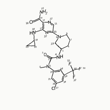 CN(C(=O)NC1CCCN(c2cnc(C(N)=O)c(NC3CC3)n2)C1)c1cc(Cl)cc(C(F)(F)F)c1